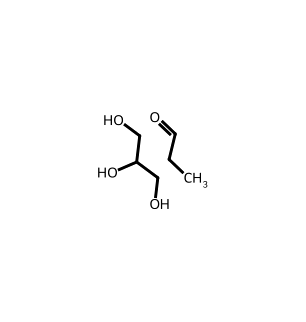 CCC=O.OCC(O)CO